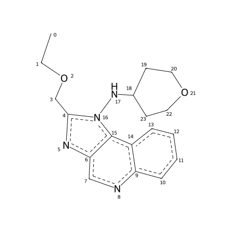 CCOCc1nc2cnc3ccccc3c2n1NC1CCOCC1